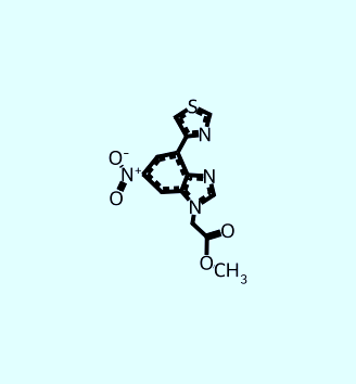 COC(=O)Cn1cnc2c(-c3cscn3)cc([N+](=O)[O-])cc21